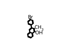 Cc1c(-c2ccc(Br)cc2)cc2ccccc2c1O